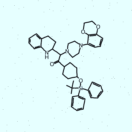 CC(C)(C)[Si](OC1CCC(C(=O)C(C2CCc3ccccc3N2)N2CCN(c3cccc4c3OCCO4)CC2)CC1)(c1ccccc1)c1ccccc1